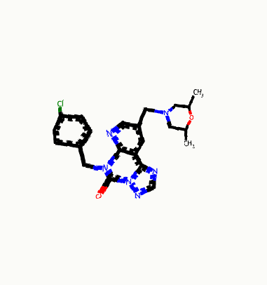 CC1CN(Cc2cnc3c(c2)c2ncnn2c(=O)n3Cc2ccc(Cl)cc2)CC(C)O1